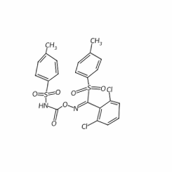 Cc1ccc(S(=O)(=O)NC(=O)ON=C(c2c(Cl)cccc2Cl)S(=O)(=O)c2ccc(C)cc2)cc1